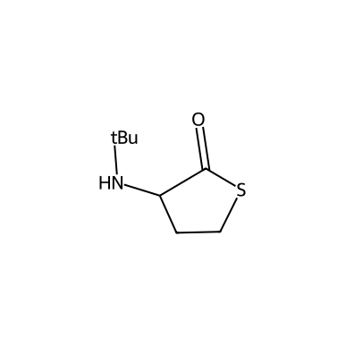 CC(C)(C)NC1CCSC1=O